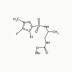 CCc1c(S(=O)(=O)NC(C)CNC(=O)OC(C)(C)C)cn(C)c1F